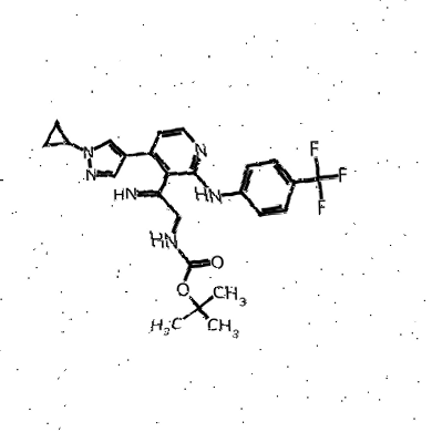 CC(C)(C)OC(=O)NCC(=N)c1c(-c2cnn(C3CC3)c2)ccnc1Nc1ccc(C(F)(F)F)cc1